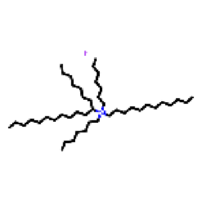 CCCCCCCCCCCC[N+](CCCCCCC)(CCCCCCC)C(CCCCCCC)CCCCCCCCCCC.[I-]